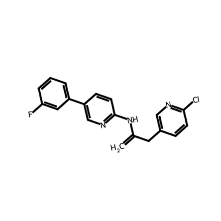 C=C(Cc1ccc(Cl)nc1)Nc1ccc(-c2cccc(F)c2)cn1